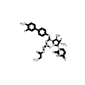 CCC(=O)ON=[P+]([O-])OC(Oc1ccc(-c2ccc(C)c(F)c2)cc1)[C@@H]1O[C@@H](n2ccc(=O)[nH]c2=O)[C@](C)(F)[C@@H]1O